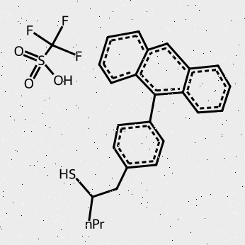 CCCC(S)Cc1ccc(-c2c3ccccc3cc3ccccc23)cc1.O=S(=O)(O)C(F)(F)F